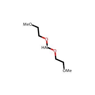 COCC[O][AlH][O]CCOC